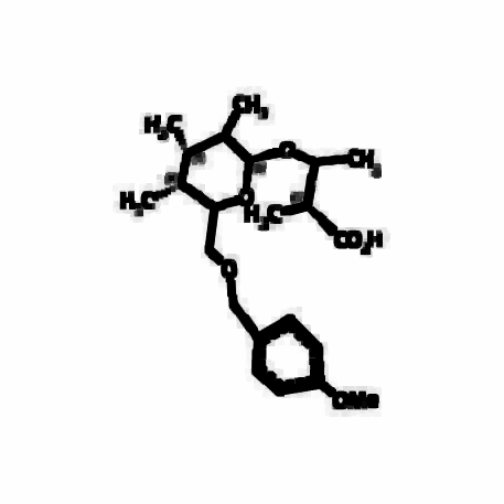 COc1ccc(COCC2O[C@H](OC(C)[C@H](C)C(=O)O)C(C)[C@@H](C)[C@H]2C)cc1